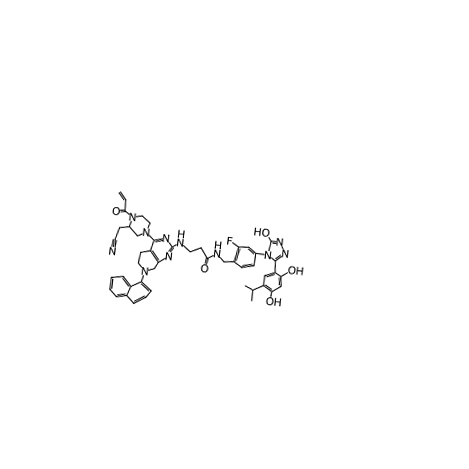 C=CC(=O)N1CCN(c2nc(NCCC(=O)NCc3ccc(-n4c(O)nnc4-c4cc(C(C)C)c(O)cc4O)cc3F)nc3c2CCN(c2cccc4ccccc24)C3)CC1CC#N